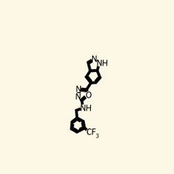 FC(F)(F)c1cccc(CNc2nnc(C3=CC4C=NNC4C=C3)o2)c1